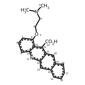 CN(C)CCOc1cccc2nc3cc4ccccc4cc3c(C(=O)O)c12